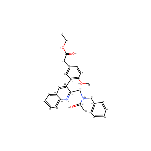 CCOC(=O)Cc1ccc(OC)c(-c2cc3ccccc3nc2CN(Cc2ccccc2)C(C)=O)c1